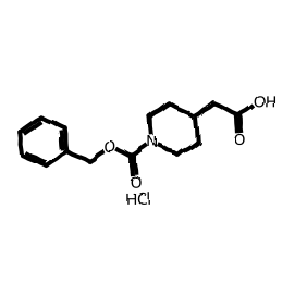 Cl.O=C(O)CC1CCN(C(=O)OCc2ccccc2)CC1